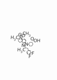 COC(=O)N1c2ccc3c(nc(C(C)Cc4ccc(F)c(F)c4)n3[C@@H]3CCC[C@@H](C(=O)O)C3)c2CCC1C